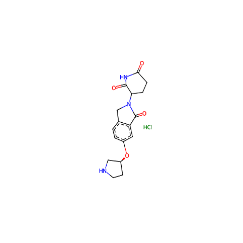 Cl.O=C1CCC(N2Cc3ccc(O[C@H]4CCNC4)cc3C2=O)C(=O)N1